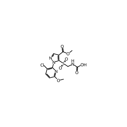 COC(=O)c1cnn(-c2nc(OC)ccc2Cl)c1S(=O)(=O)CNC(=O)O